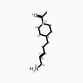 CC(=O)N1CCC(CC/C=C/CN)CC1